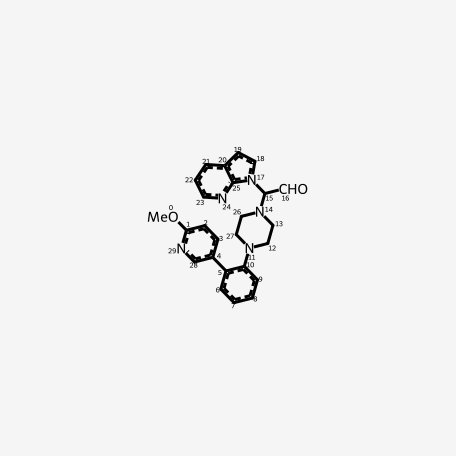 COc1ccc(-c2ccccc2N2CCN(C(C=O)n3ccc4cccnc43)CC2)cn1